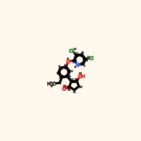 CCc1ccc(Oc2ncc(Cl)cc2Cl)cc1C1=C(O)CCC1=O